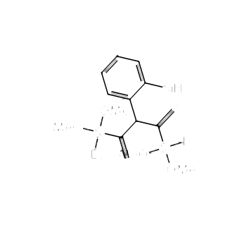 C=C(C(C(=C)[Si](CC)(OC)OC)c1ccccc1[SiH3])[Si](CC)(OC)OC